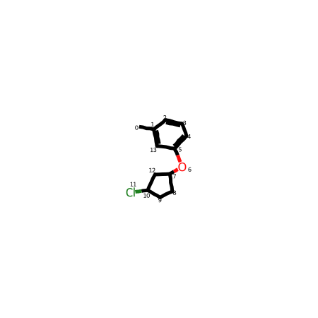 Cc1cccc(OC2CCC(Cl)C2)c1